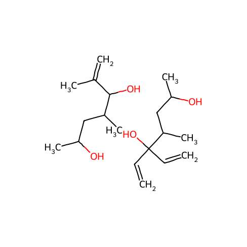 C=C(C)C(O)C(C)CC(C)O.C=CC(O)(C=C)C(C)CC(C)O